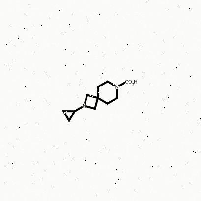 O=C(O)N1CCC2(CC1)CN(C1CC1)C2